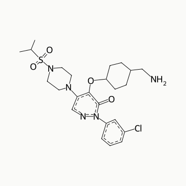 CC(C)S(=O)(=O)N1CCN(c2cnn(-c3cccc(Cl)c3)c(=O)c2OC2CCC(CN)CC2)CC1